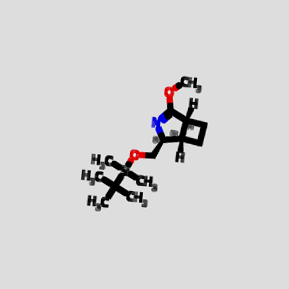 COC1=N[C@H](CO[Si](C)(C)C(C)(C)C)[C@H]2CC[C@@H]12